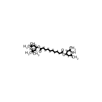 C=C1CC(OC(=O)CCCCCCCCC(=O)OC2CC(C)(C)NC(C)(C)C2)CC(=C)N1